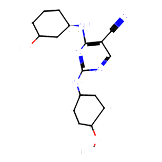 COC1CCC(Nc2ncc(C#N)c(N[C@@H]3CCCC(O)C3)n2)CC1